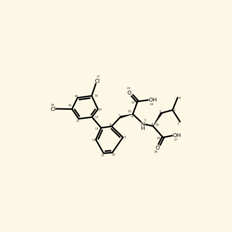 CC(C)C[C@H](N[C@@H](Cc1ccccc1-c1cc(Cl)cc(Cl)c1)C(=O)O)C(=O)O